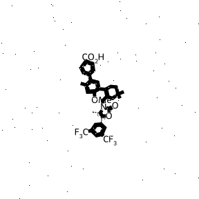 COc1cc(C)c(-c2ccc(C(=O)O)cc2)cc1C1=C(CN2C(=O)O[C@H](c3cc(C(F)(F)F)cc(C(F)(F)F)c3)[C@@H]2C)CC(C)(C)CC1